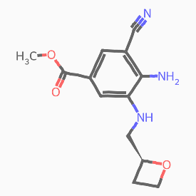 COC(=O)c1cc(C#N)c(N)c(NC[C@@H]2CCO2)c1